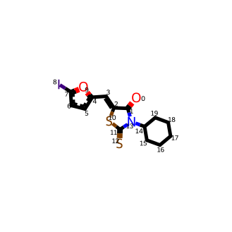 O=C1C(=Cc2ccc(I)o2)SC(=S)N1C1CCCCC1